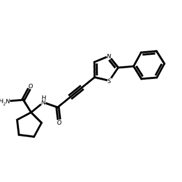 NC(=O)C1(NC(=O)C#Cc2cnc(-c3ccccc3)s2)CCCC1